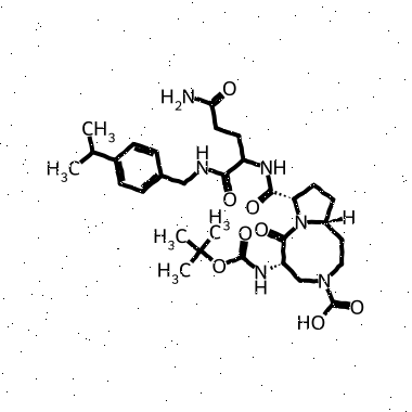 CC(C)c1ccc(CNC(=O)C(CCC(N)=O)NC(=O)[C@@H]2CC[C@@H]3CCN(C(=O)O)C[C@H](NC(=O)OC(C)(C)C)C(=O)N32)cc1